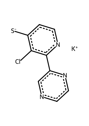 [K+].[S-]c1ccnc(-c2cnccn2)c1Cl